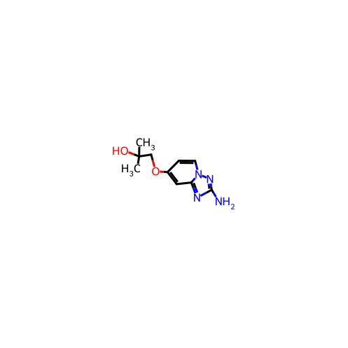 CC(C)(O)COc1ccn2nc(N)nc2c1